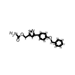 NC(=O)OCc1cc(-c2ccc(OCc3ccccc3)cc2)ns1